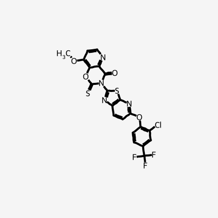 COc1ccnc2c(=O)n(-c3nc4ccc(Oc5ccc(C(F)(F)F)cc5Cl)nc4s3)c(=S)oc12